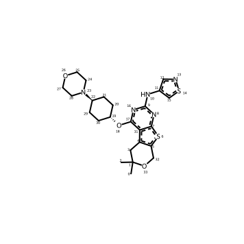 CC1(C)Cc2c(sc3nc(Nc4cnsc4)nc(O[C@H]4CC[C@H](N5CCOCC5)CC4)c23)CO1